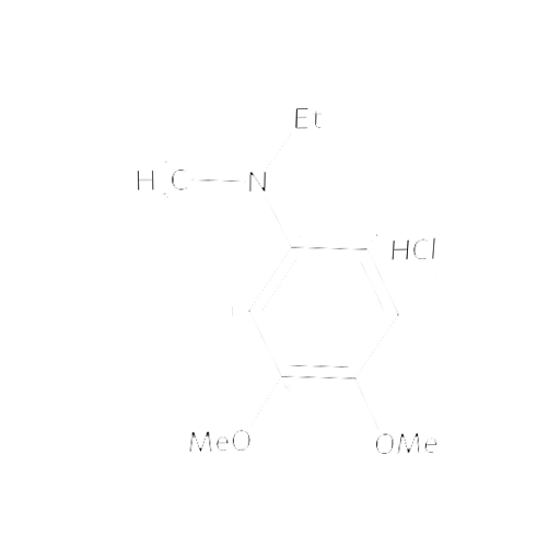 CCN(C)c1ccc(OC)c(OC)c1.Cl